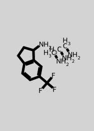 CN.CN.CN.NC1CCc2ccc(C(F)(F)F)cc21